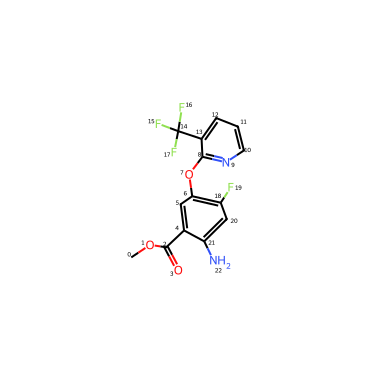 COC(=O)c1cc(Oc2ncccc2C(F)(F)F)c(F)cc1N